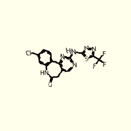 O=C1Cc2cnc(Nc3nnc(C(F)(F)F)s3)nc2-c2ccc(Cl)cc2N1